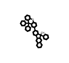 CC1(c2ccccc2)c2cc(-c3ccc4c(c3)C(c3ccccc3)(c3ccccc3)c3ccccc3O4)ccc2-c2cc3ccccc3cc21